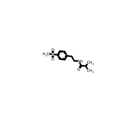 CC(C)C(=O)NCCc1ccc(S(C)(=O)=O)cc1